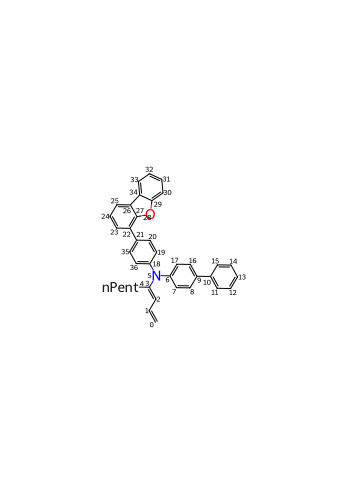 C=C/C=C(\CCCCC)N(c1ccc(-c2ccccc2)cc1)c1ccc(-c2cccc3c2oc2ccccc23)cc1